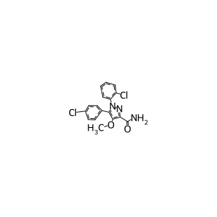 COc1c(C(N)=O)nn(-c2ccccc2Cl)c1-c1ccc(Cl)cc1